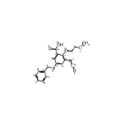 COCCOc1c(N=C=O)cc(OCc2ccccc2)cc1C(=O)O